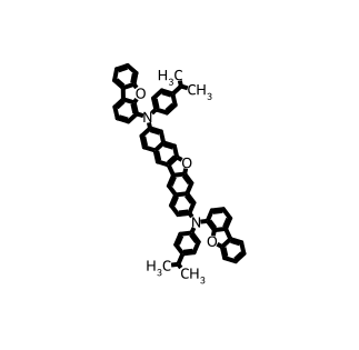 CC(C)c1ccc(N(c2ccc3cc4c(cc3c2)oc2cc3cc(N(c5ccc(C(C)C)cc5)c5cccc6c5oc5ccccc56)ccc3cc24)c2cccc3c2oc2ccccc23)cc1